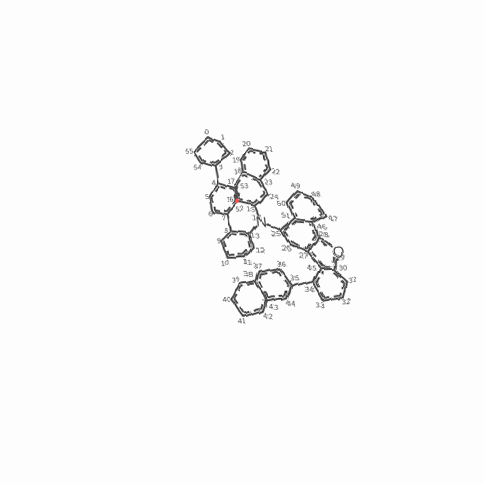 c1ccc(-c2ccc(-c3ccccc3N(c3ccc4ccccc4c3)c3cc4c(oc5cccc(-c6ccc7ccccc7c6)c54)c4ccccc34)cc2)cc1